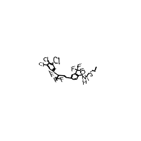 C=CCSC[C@@H](C)NC(=O)c1ccc(/C=C/C(c2cc(Cl)c(Cl)c(Cl)c2)C(F)(F)F)cc1C(F)(F)F